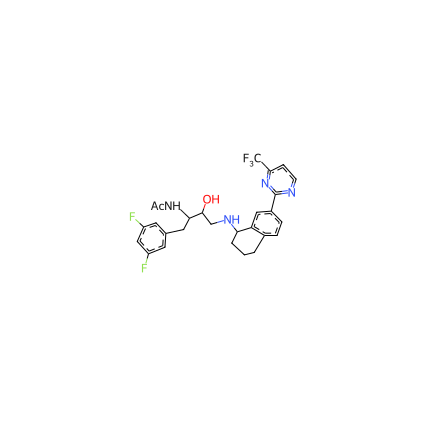 CC(=O)NC(Cc1cc(F)cc(F)c1)C(O)CNC1CCCc2ccc(-c3nccc(C(F)(F)F)n3)cc21